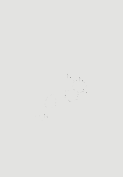 CC(C)CCNc1ncnc2ccc(-c3cccc([N+](=O)[O-])c3)cc12